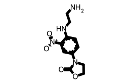 NCCNc1ccc(N2CCOC2=O)cc1[N+](=O)[O-]